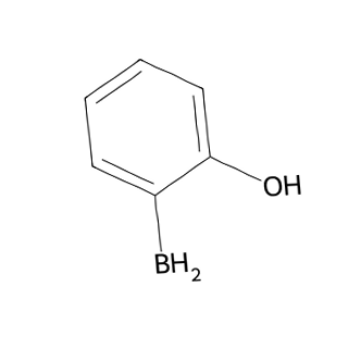 Bc1ccccc1O